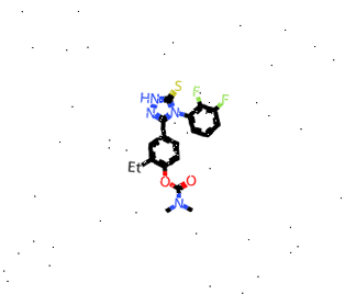 CCc1cc(-c2n[nH]c(=S)n2-c2cccc(F)c2F)ccc1OC(=O)N(C)C